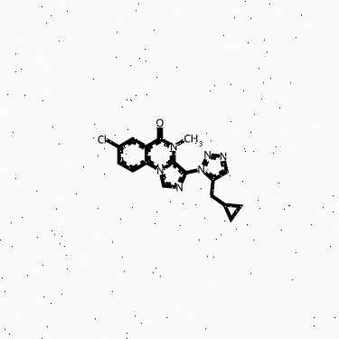 Cn1c(=O)c2cc(Cl)ccc2n2cnc(-n3nncc3CC3CC3)c12